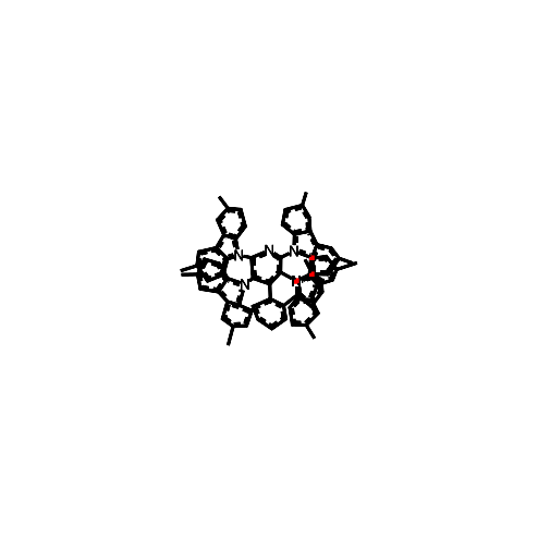 Cc1ccc2c(c1)c1cc(C)ccc1n2-c1nc(-n2c3ccc(C)cc3c3cc(C)ccc32)c(-n2c3ccc(C)cc3c3cc(C)ccc32)c(-c2ccccc2-c2cccc(C)n2)c1-n1c2ccc(C)cc2c2cc(C)ccc21